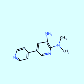 CN(C)c1ncc(-c2ccncc2)cc1N